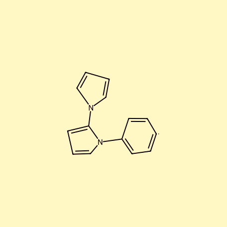 [c]1ccc(-n2cccc2-n2cccc2)cc1